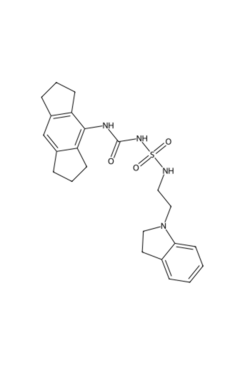 O=C(Nc1c2c(cc3c1CCC3)CCC2)NS(=O)(=O)NCCN1CCc2ccccc21